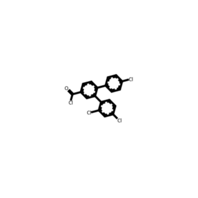 O=C(Cl)c1ccc(-c2ccc(Cl)cc2)c(-c2ccc(Cl)cc2Cl)c1